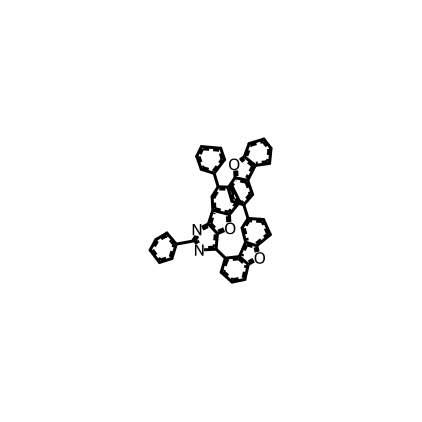 c1ccc(-c2ccc3oc4c(-c5cccc6oc7ccc(-c8ccc9oc%10ccccc%10c9c8)cc7c56)nc(-c5ccccc5)nc4c3c2)cc1